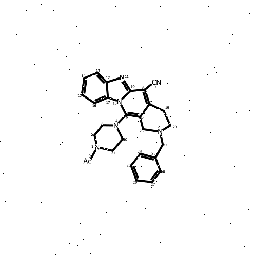 CC(=O)N1CCN(c2c3c(c(C#N)c4nc5ccccc5n24)CCN(Cc2ccccc2)C3)CC1